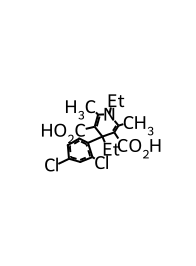 CCN1C(C)=C(C(=O)O)C(CC)(c2ccc(Cl)cc2Cl)C(C(=O)O)=C1C